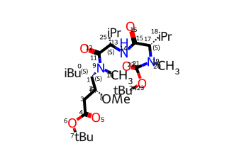 CC[C@H](C)[C@@H]([C@@H](CC(=O)OC(C)(C)C)OC)N(C)C(=O)[C@@H](NC(=O)[C@H](C(C)C)N(C)C(=O)OC(C)(C)C)C(C)C